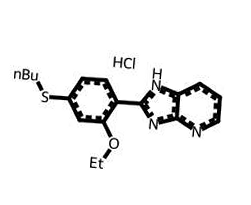 CCCCSc1ccc(-c2nc3ncccc3[nH]2)c(OCC)c1.Cl